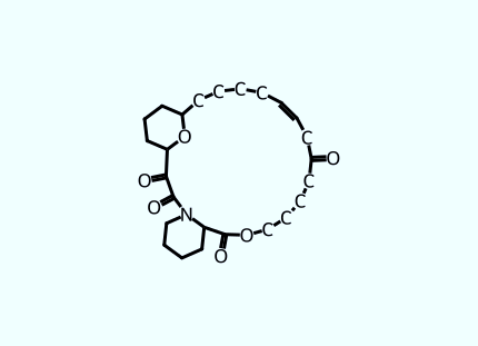 O=C1CC=CCCCCC2CCCC(O2)C(=O)C(=O)N2CCCCC2C(=O)OCCCC1